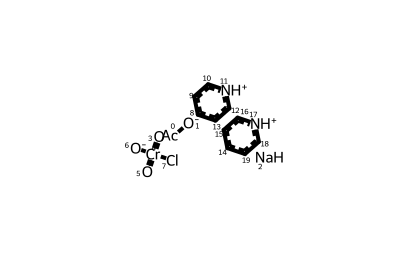 CC(=O)[O-].[NaH].[O]=[Cr](=[O])([O-])[Cl].c1cc[nH+]cc1.c1cc[nH+]cc1